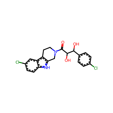 O=C(C(O)C(O)c1ccc(Cl)cc1)N1CCc2c([nH]c3ccc(Cl)cc23)C1